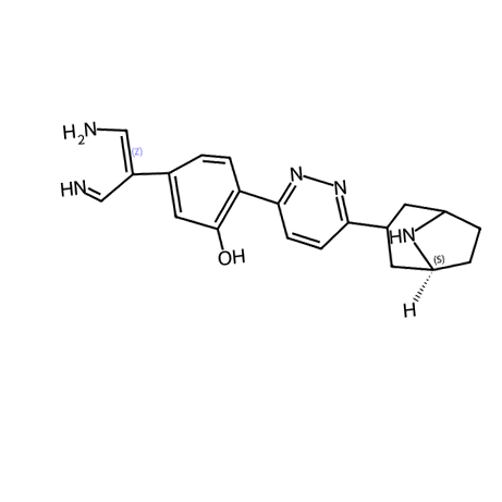 N=C/C(=C\N)c1ccc(-c2ccc(C3CC4CC[C@@H](C3)N4)nn2)c(O)c1